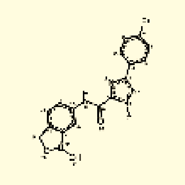 Cn1nc(-c2ccc(F)cc2)nc1C(=O)Nc1ccc2c(c1)B(O)OC2